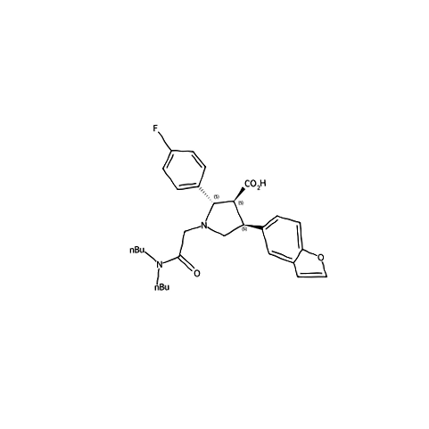 CCCCN(CCCC)C(=O)CN1C[C@H](c2ccc3occc3c2)[C@H](C(=O)O)[C@H]1c1ccc(F)cc1